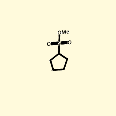 COS(=O)(=O)C1C[CH]CC1